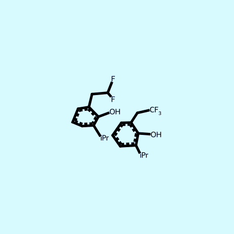 CC(C)c1cccc(CC(F)(F)F)c1O.CC(C)c1cccc(CC(F)F)c1O